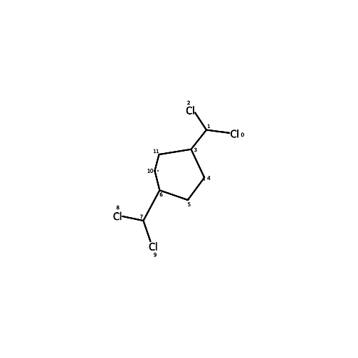 ClC(Cl)C1[CH]CC(C(Cl)Cl)[CH]C1